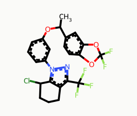 CC(Oc1cccc(-n2nc(C(F)(F)F)c3c2C(Cl)CCC3)c1)c1ccc2c(c1)OC(F)(F)O2